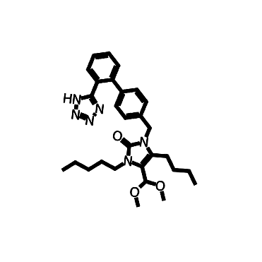 CCCCCn1c(C(OC)OC)c(CCCC)n(Cc2ccc(-c3ccccc3-c3nnn[nH]3)cc2)c1=O